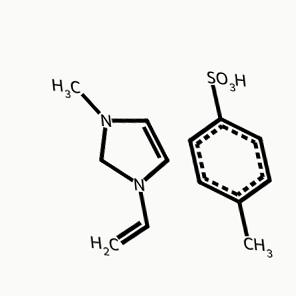 C=CN1C=CN(C)C1.Cc1ccc(S(=O)(=O)O)cc1